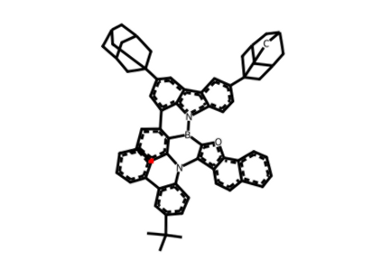 Cc1cc2c3c(c1)N(c1ccc(C(C)(C)C)cc1-c1ccccc1)c1c(oc4c1ccc1ccccc14)B3n1c3ccc(C45CC6CC(CC(C6)C4)C5)cc3c3cc(C45CC6CC(CC(C6)C4)C5)cc-2c31